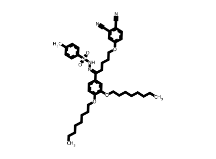 CCCCCCCCOc1ccc(C(CCCCOc2ccc(C#N)c(C#N)c2)=NNS(=O)(=O)c2ccc(C)cc2)cc1OCCCCCCCC